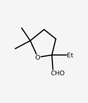 CCC1(C=O)CCC(C)(C)O1